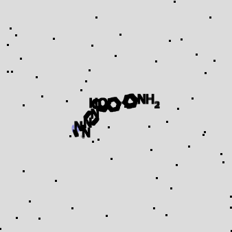 C/C=N\C(=NC)N1CCN(C(=O)C[C@]2(O)CC[C@@H](c3ccc(N)cc3)CC2)CC1